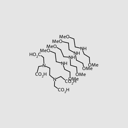 COCCNCCOC.COCCNCCOC.COCCNCCOC.COCCNCCOC.O=C(O)CN(CCN(CC(=O)O)CC(=O)O)CC(=O)O